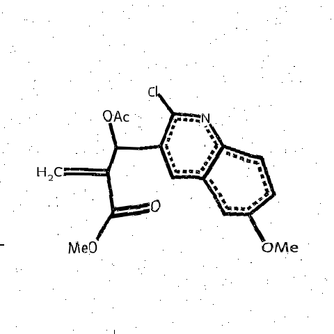 C=C(C(=O)OC)C(OC(C)=O)c1cc2cc(OC)ccc2nc1Cl